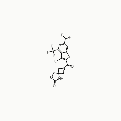 O=C1NC2(CO1)CN(C(=O)c1sc3cc(C(F)F)cc(C(F)(F)F)c3c1Cl)C2